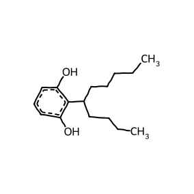 CCCCCC(CCCC)c1c(O)cccc1O